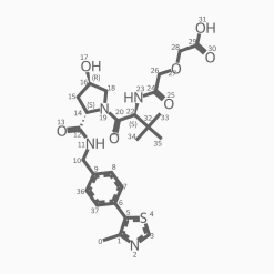 Cc1ncsc1-c1ccc(CNC(=O)[C@@H]2C[C@@H](O)CN2C(=O)[C@@H](NC(=O)COCC(=O)O)C(C)(C)C)cc1